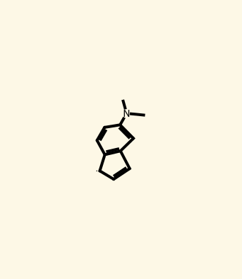 CN(C)c1ccc2c(c1)C=C[CH]2